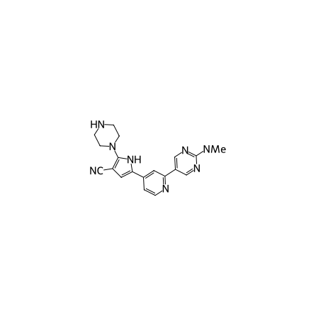 CNc1ncc(-c2cc(-c3cc(C#N)c(N4CCNCC4)[nH]3)ccn2)cn1